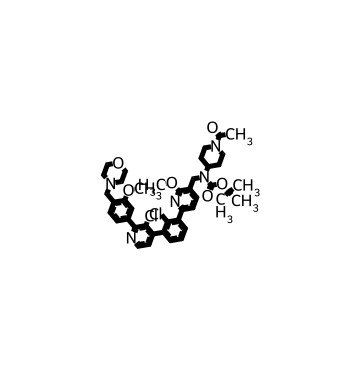 COc1cc(-c2nccc(-c3cccc(-c4ccc(CN(C(=O)OC(C)(C)C)C5CCN(C(C)=O)CC5)c(OC)n4)c3Cl)c2Cl)ccc1CN1CCOCC1